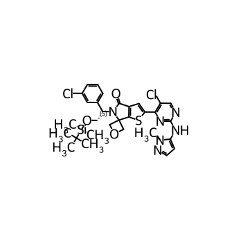 Cn1nccc1Nc1ncc(Cl)c(-c2cc3c(s2)C2(COC2)N([C@H](CO[Si](C)(C)C(C)(C)C)c2cccc(Cl)c2)C3=O)n1